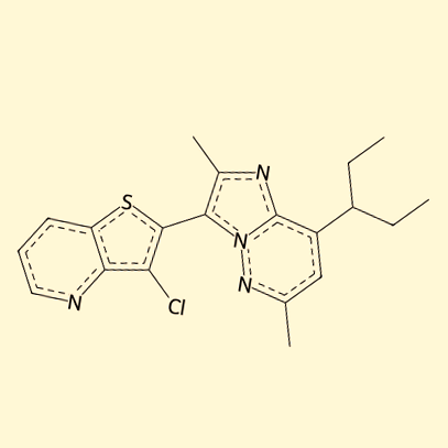 CCC(CC)c1cc(C)nn2c(-c3sc4cccnc4c3Cl)c(C)nc12